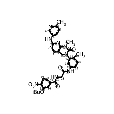 Cc1ccc(Nc2ncc3c(n2)N(C)C(=O)N(c2cc(NC(=O)CNC(=O)c4ccc([N+](=O)[O-])c(OCC(C)C)c4)ccc2C)C3)cn1